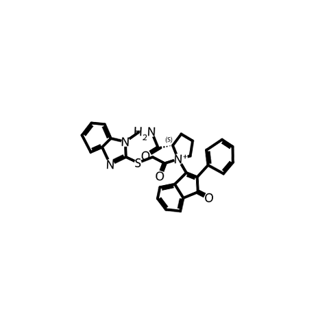 Cn1c(SCC(=O)[N+]2(C3=C(c4ccccc4)C(=O)c4ccccc43)CCC[C@H]2C(N)=O)nc2ccccc21